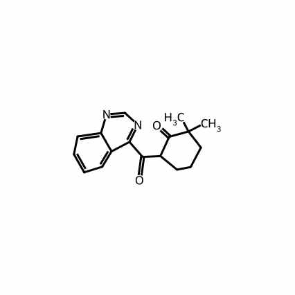 CC1(C)CCCC(C(=O)c2ncnc3ccccc23)C1=O